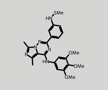 COc1cc(Nc2nc(-c3cccc(NSC)c3)nn3c(C)nc(C)c23)cc(OC)c1OC